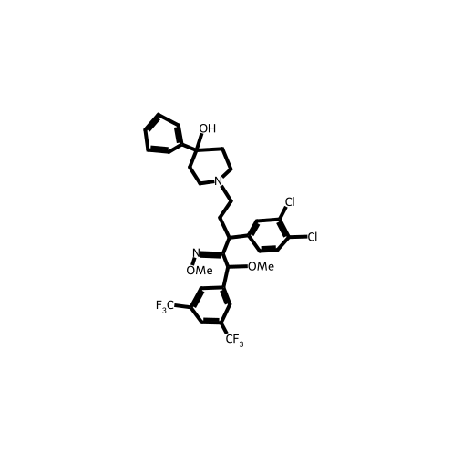 CON=C(C(CCN1CCC(O)(c2ccccc2)CC1)c1ccc(Cl)c(Cl)c1)C(OC)c1cc(C(F)(F)F)cc(C(F)(F)F)c1